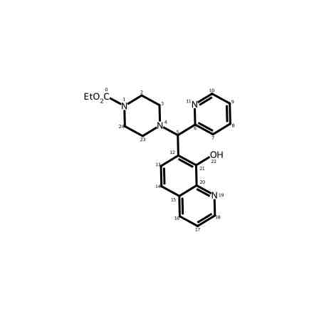 CCOC(=O)N1CCN(C(c2ccccn2)c2ccc3cccnc3c2O)CC1